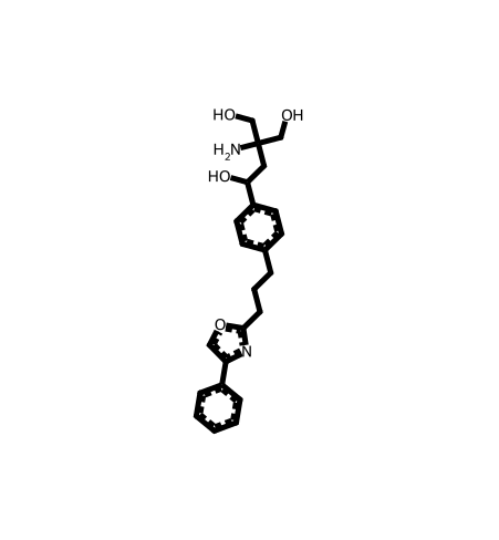 NC(CO)(CO)CC(O)c1ccc(CCCc2nc(-c3ccccc3)co2)cc1